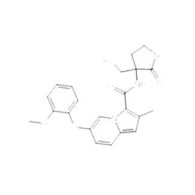 COc1ccccc1Oc1ccc2cc(C)c(C(=O)NC3(CO)CCNC3=O)n2c1